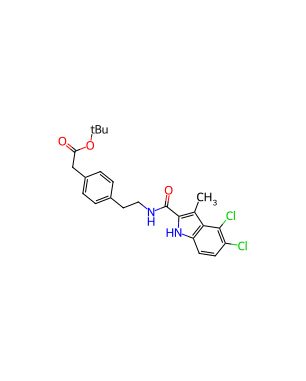 Cc1c(C(=O)NCCc2ccc(CC(=O)OC(C)(C)C)cc2)[nH]c2ccc(Cl)c(Cl)c12